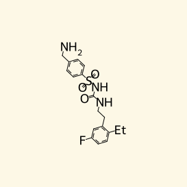 CCc1ccc(F)cc1CCNC(=O)NS(=O)(=O)c1ccc(CN)cc1